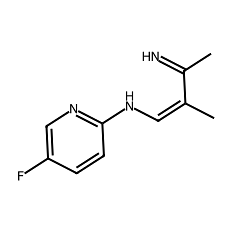 CC(=N)/C(C)=C\Nc1ccc(F)cn1